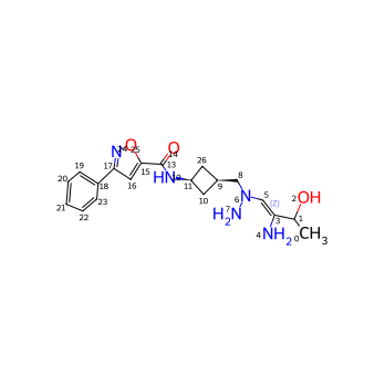 CC(O)/C(N)=C/N(N)C[C@H]1C[C@@H](NC(=O)c2cc(-c3ccccc3)no2)C1